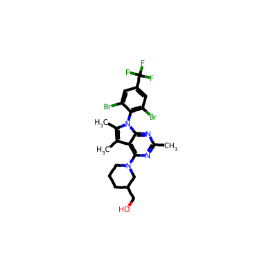 Cc1nc(N2CCCC(CO)C2)c2c(C)c(C)n(-c3c(Br)cc(C(F)(F)F)cc3Br)c2n1